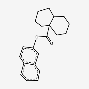 O=C(Oc1ccc2ccccc2c1)C12CCCCC1CCCC2